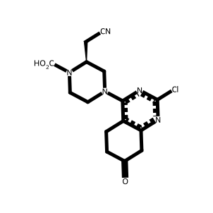 N#CC[C@H]1CN(c2nc(Cl)nc3c2CCC(=O)C3)CCN1C(=O)O